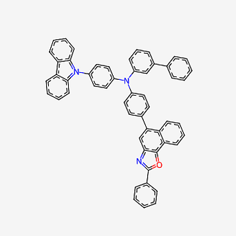 c1ccc(-c2cccc(N(c3ccc(-c4cc5nc(-c6ccccc6)oc5c5ccccc45)cc3)c3ccc(-n4c5ccccc5c5ccccc54)cc3)c2)cc1